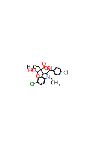 CCn1c(C(=O)c2ccc(Cl)cc2)c(C(CC)(C(=O)O)C(=O)O)c2cc(Cl)ccc21